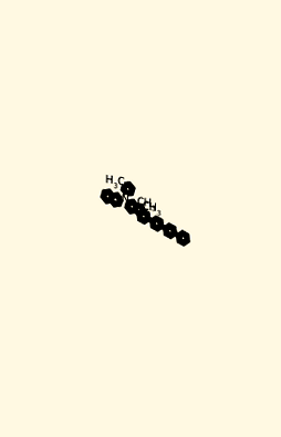 Cc1cccc(N(c2ccc3c(c2)C(C)(C)c2cc(-c4ccc(-c5ccc(-c6ccccc6)cc5)cc4)ccc2-3)c2ccc3ccccc3c2)c1